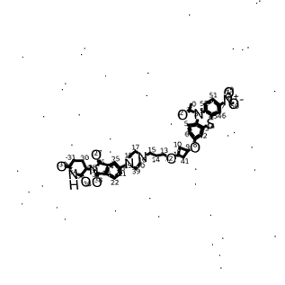 CC(=O)N1c2ccc(OC3CC(OCCCN4CCN(c5ccc6c(c5)C(=O)N(C5CCC(=O)NC5=O)C6=O)CC4)C3)cc2Sc2cc([N+](=O)[O-])ccc21